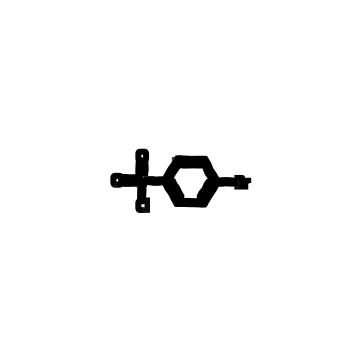 O=S(=O)(Cl)c1[c]cc(Br)cc1